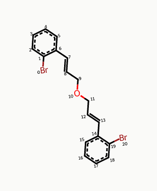 Brc1ccccc1C=CCOCC=Cc1ccccc1Br